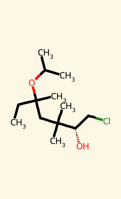 CCC(C)(CC(C)(C)[C@@H](O)CCl)OC(C)C